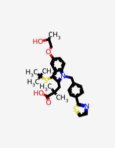 CC(O)COc1ccc2c(c1)c(SC(C)(C)C)c(CC(C)(C)C(=O)O)n2Cc1ccc(-c2nccs2)cc1